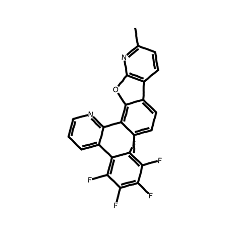 Cc1ccc2c(n1)oc1c(-c3ncccc3-c3c(F)c(F)c(F)c(F)c3F)c(C)ccc12